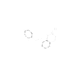 CN1CCc2cccc(OCc3ccccc3)c2C1